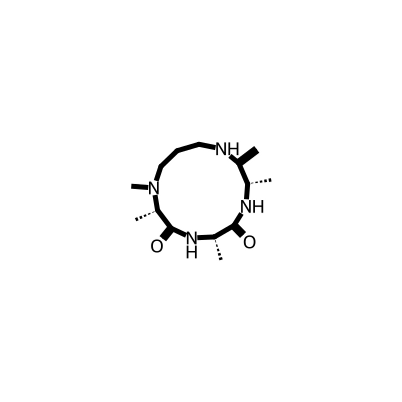 C=C1NCCCN(C)[C@@H](C)C(=O)N[C@@H](C)C(=O)N[C@H]1C